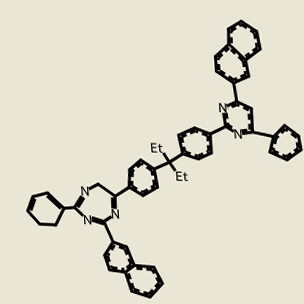 CCC(CC)(c1ccc(C2=NC(c3ccc4ccccc4c3)=NC(C3=CC=CCC3)=NC2)cc1)c1ccc(-c2nc(-c3ccccc3)cc(-c3ccc4ccccc4c3)n2)cc1